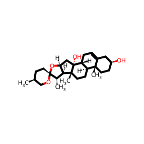 C[C@H]1CC[C@@]2(OC1)O[C@H]1C[C@@]3(O)[C@@H]4CC=C5C[C@@H](O)CC[C@]5(C)[C@H]4CC[C@]3(C)[C@H]1[C@@H]2C